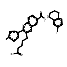 O=C(O)CCCCc1cc2cc(C(=O)N[C@@H]3CCCc4ccc(F)cc43)ccc2nc1-c1ccc(F)cc1